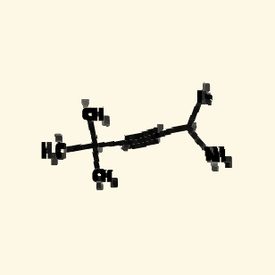 CCC(N)C#CC(C)(C)C